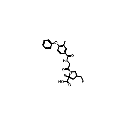 Cc1cc(C(=O)NCC(=O)N2CC(CF)CC2(F)C(=O)O)ccc1Oc1ccccc1